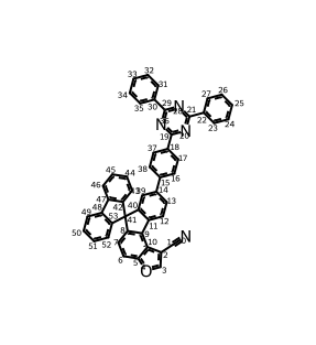 N#Cc1coc2ccc3c(c12)-c1ccc(-c2ccc(-c4nc(-c5ccccc5)nc(-c5ccccc5)n4)cc2)cc1C31c2ccccc2-c2ccccc21